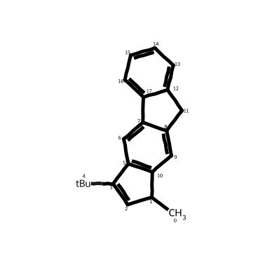 CC1C=C(C(C)(C)C)c2cc3c(cc21)Cc1ccccc1-3